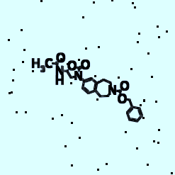 CC(=O)NC1CN(c2ccc3c(c2)CCN(C(=O)OCc2ccccc2)CC3)C(=O)O1